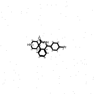 CC(C)C1CCC(C2NC(=O)C3(CCNCC3)c3ccccc32)CC1